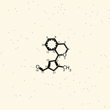 CC1=C(C2OCCc3ccccc32)C=C(C=O)C1